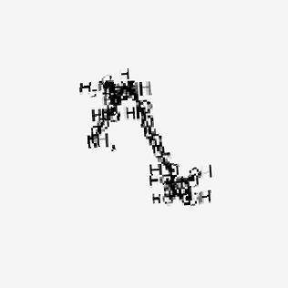 CC(C)[C@H](NC(=O)CCCCC(=O)NCCOCCOCCOCCOCCOCCNC(=O)CCC(C(=O)O)N1CCN(CC(=O)O)CCN(CC(=O)O)CCN(CC(=O)O)CC1)C(=O)N[C@@H](CCCNC(N)=O)C(=O)Nc1ccc(COC(=O)NCCOCCOCCN)cc1